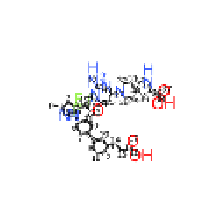 Cc1ccn(-c2ccc(-c3cccc(C=CC(=O)O)c3)cc2[C@@H](Oc2cc(N3CCC4(CC3)CNC(C(=O)O)C4)nc(N)n2)C(F)(F)F)n1